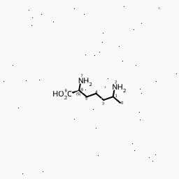 CC(N)CCC[C@H](N)C(=O)O